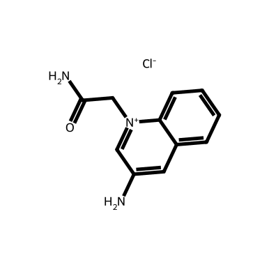 NC(=O)C[n+]1cc(N)cc2ccccc21.[Cl-]